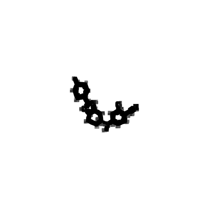 Cc1ccc(-c2nc3c(o2)CC[C@@H](N(C)c2ccc(C#N)c(Cl)c2)C3)cc1